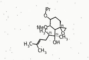 COC1C(OC(C)C)CC[C@]2(CO2)C1[C@@](C)(O)[C@H](C)CC=C(C)C